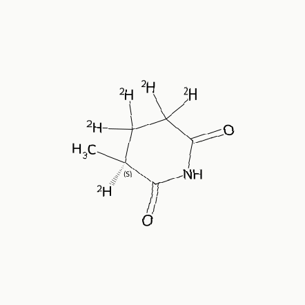 [2H]C1([2H])C(=O)NC(=O)[C@@]([2H])(C)C1([2H])[2H]